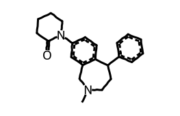 CN1CCC(c2ccccc2)c2ccc(N3CCCCC3=O)cc2C1